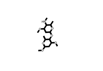 CNC1C(C)OC(OC2C(C)OC(OC)CC2OC)CC1OC